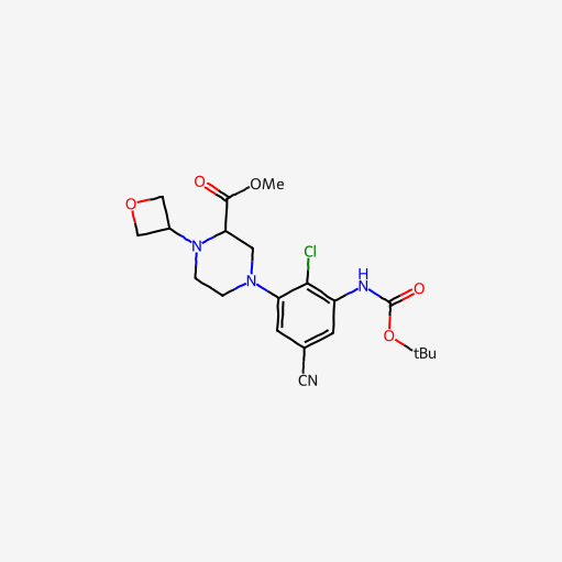 COC(=O)C1CN(c2cc(C#N)cc(NC(=O)OC(C)(C)C)c2Cl)CCN1C1COC1